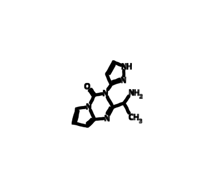 CC(N)c1nc2cccn2c(=O)n1-c1cc[nH]n1